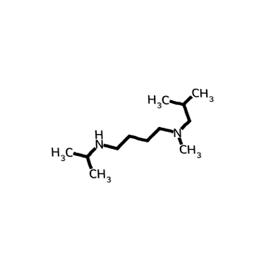 CC(C)CN(C)CCCCNC(C)C